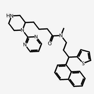 CN(CCC(c1cccs1)c1cccc2ccccc12)C(=O)CCCC1CNCCN1c1ncccn1